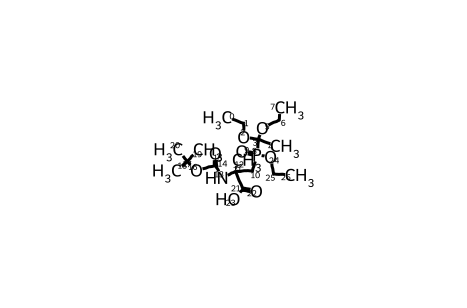 CCOC(C)(OCC)P(=O)(C[C@](C)(NC(=O)OC(C)(C)C)C(=O)O)OCC